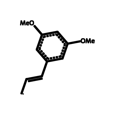 [CH2]C=Cc1cc(OC)cc(OC)c1